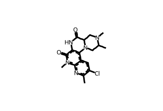 Cc1nc2c(cc1Cl)c1c(c(=O)n2C)NC(=O)C2CN(C)C(C)CN12